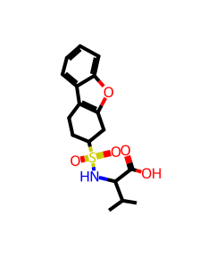 CC(C)C(NS(=O)(=O)C1CCc2c(oc3ccccc23)C1)C(=O)O